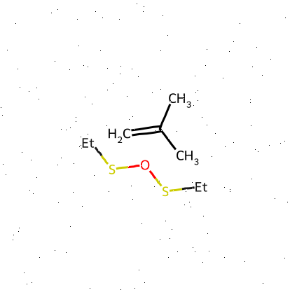 C=C(C)C.CCSOSCC